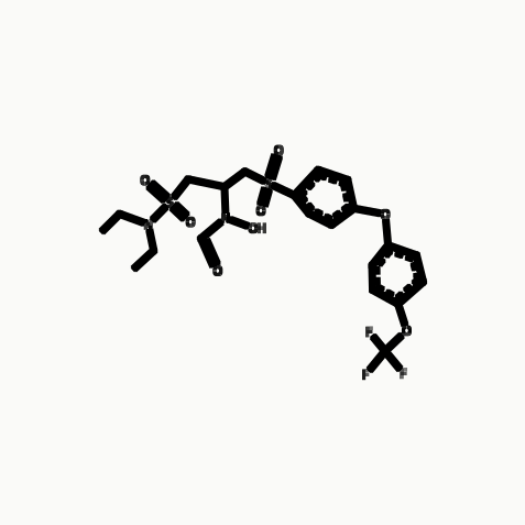 CCN(CC)S(=O)(=O)CC(CS(=O)(=O)c1ccc(Oc2ccc(OC(F)(F)F)cc2)cc1)N(O)C=O